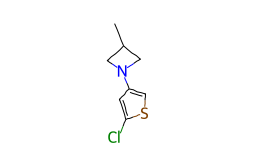 CC1CN(c2csc(Cl)c2)C1